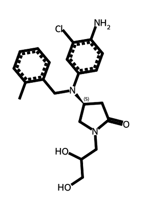 Cc1ccccc1CN(c1ccc(N)c(Cl)c1)[C@H]1CC(=O)N(CC(O)CO)C1